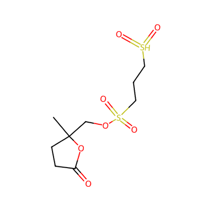 CC1(COS(=O)(=O)CCC[SH](=O)=O)CCC(=O)O1